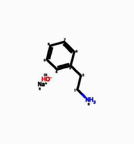 NCCc1ccccc1.[Na+].[OH-]